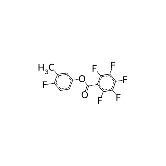 Cc1cc(OC(=O)c2c(F)c(F)c(F)c(F)c2F)ccc1F